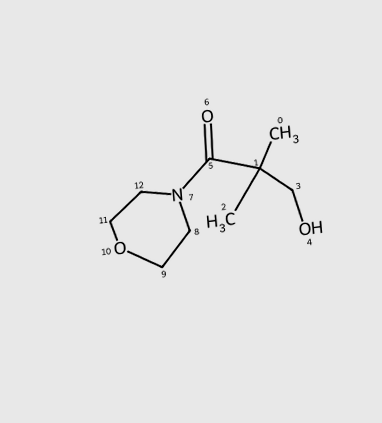 CC(C)(CO)C(=O)N1CCOCC1